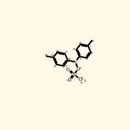 Cc1ccc([I+](OS(=O)(=O)C(F)(F)F)c2ccc(C)cc2)cc1